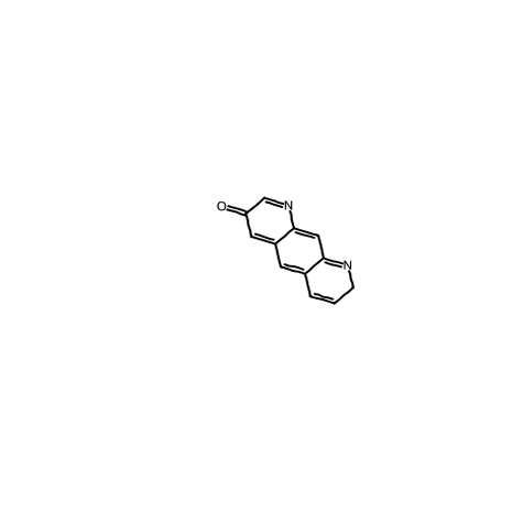 O=C1C=Nc2cc3c(cc2=C1)C=CCN=3